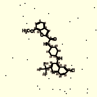 COc1cccc2cc(C(=O)NC3CCC(Nc4cc(C(F)(F)F)nc5ccc(Cl)cc45)CC3)oc12